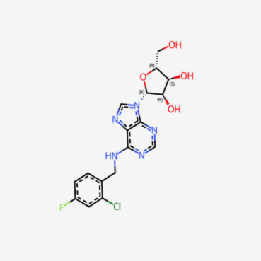 OC[C@H]1O[C@@H](n2cnc3c(NCc4ccc(F)cc4Cl)ncnc32)[C@H](O)[C@@H]1O